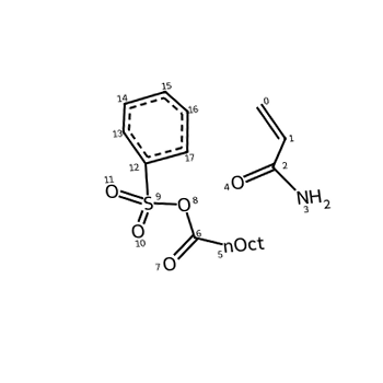 C=CC(N)=O.CCCCCCCCC(=O)OS(=O)(=O)c1ccccc1